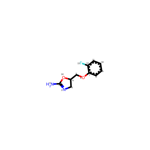 NC1=NCC(COc2ccccc2F)O1